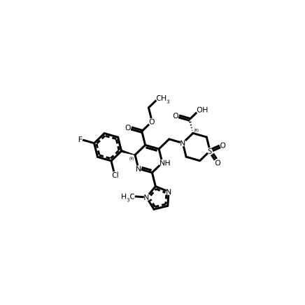 CCOC(=O)C1=C(CN2CCS(=O)(=O)C[C@H]2C(=O)O)NC(c2nccn2C)=N[C@H]1c1ccc(F)cc1Cl